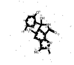 Cn1nc2c3c(c(N)cc2c1C#N)C(O)(c1cc(F)ccc1Cl)NC3=O